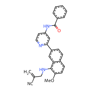 C=C(C#N)CNc1c(OC)ccc2ccc(-c3cc(NC(=O)c4ccccc4)ccn3)cc12